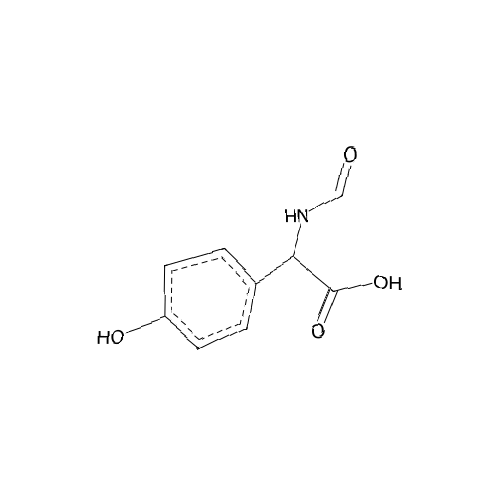 O=CNC(C(=O)O)c1ccc(O)cc1